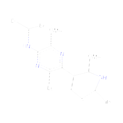 CCc1nc(NC(CC)CC)c(OC)nc1C1CCC(C(C)C)NC1OC